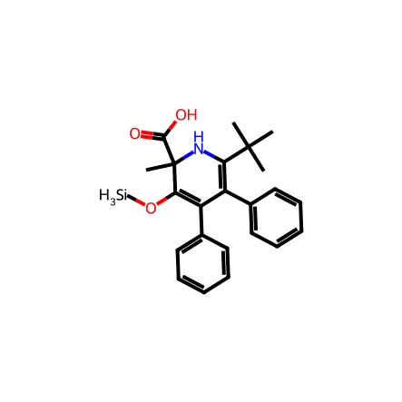 CC(C)(C)C1=C(c2ccccc2)C(c2ccccc2)=C(O[SiH3])C(C)(C(=O)O)N1